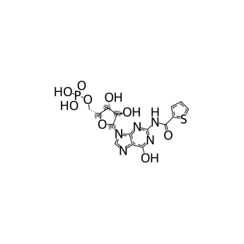 O=C(Nc1nc(O)c2ncn([C@@H]3O[C@H](COP(=O)(O)O)[C@H](O)[C@H]3O)c2n1)c1cccs1